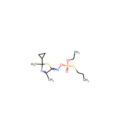 CCCSP(=O)(OCC)O/N=C1\SC(C)(C2CC2)N=C1C